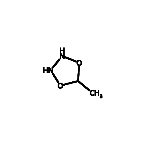 CC1ONNO1